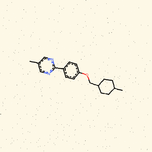 Cc1cnc(-c2ccc(OCC3CCC(C)CC3)cc2)nc1